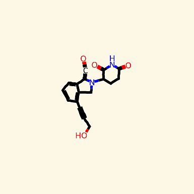 O=C=C1c2cccc(C#CCO)c2CN1C1CCC(=O)NC1=O